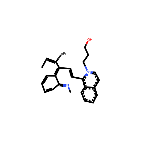 C/C=C(/CCC)C(/C=C/c1c2ccccc2cc[n+]1CCCO)=C1C=CC=C/C1=N\C